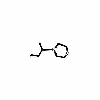 CC(CI)N1CCOCC1